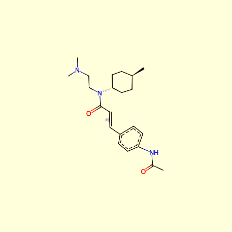 CC(=O)Nc1ccc(/C=C/C(=O)N(CCN(C)C)[C@H]2CC[C@H](C)CC2)cc1